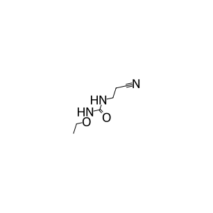 CCONC(=O)NCCC#N